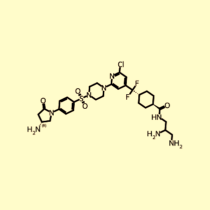 NCC(N)CNC(=O)[C@H]1CC[C@H](C(F)(F)c2cc(Cl)nc(N3CCN(S(=O)(=O)c4ccc(N5C[C@H](N)CC5=O)cc4)CC3)c2)CC1